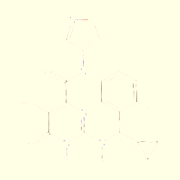 CN(c1nc(C(=O)Nc2cnoc2)c(O)c(=O)n1C)C(c1ccccc1Cl)C1CC1